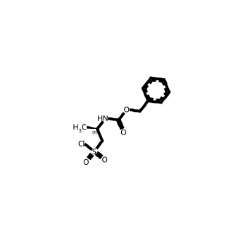 C[C@H](CS(=O)(=O)Cl)NC(=O)OCc1ccccc1